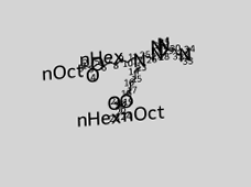 CCCCCCCCC(CCCCCC)C(=O)OCCCCCCN(CCCCCCOC(=O)C(CCCCCC)CCCCCCCC)CCn1cc(CCN(C)C)nn1